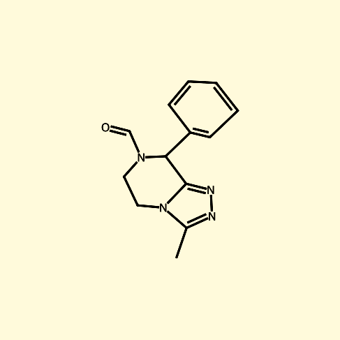 Cc1nnc2n1CCN(C=O)C2c1ccccc1